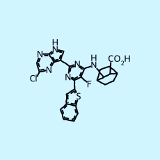 O=C(O)C1C2CCC(CC2)C1Nc1nc(-c2c[nH]c3ncc(Cl)nc23)nc(-c2cc3ccccc3s2)c1F